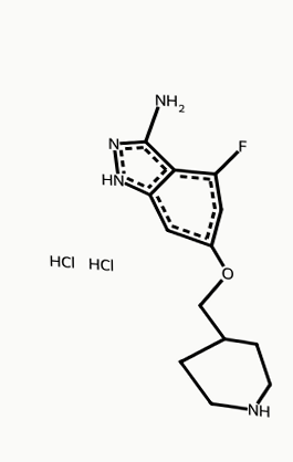 Cl.Cl.Nc1n[nH]c2cc(OCC3CCNCC3)cc(F)c12